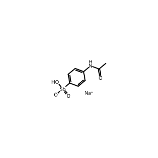 CC(=O)Nc1cc[c]([Sb](=[O])([O-])[OH])cc1.[Na+]